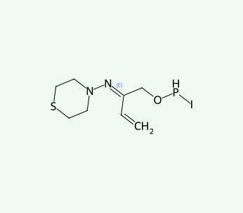 C=C/C(COPI)=N\N1CCSCC1